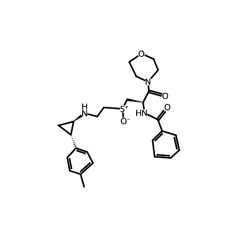 Cc1ccc([C@@H]2C[C@H]2NCC[S+]([O-])C[C@H](NC(=O)c2ccccc2)C(=O)N2CCOCC2)cc1